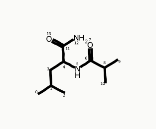 CC(C)CC(NC(=O)C(C)C)C(N)=O